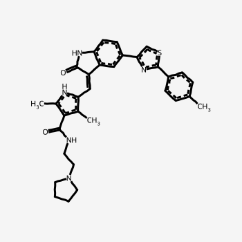 Cc1ccc(-c2nc(-c3ccc4c(c3)/C(=C/c3[nH]c(C)c(C(=O)NCCN5CCCC5)c3C)C(=O)N4)cs2)cc1